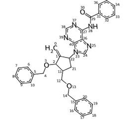 C=C1C(OCc2ccccc2)C(COCc2ccccc2)CC1n1cnc2c(NC(=O)c3ccccc3)ncnc21